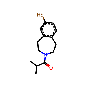 CC(C)C(=O)N1CCc2ccc(S)cc2CC1